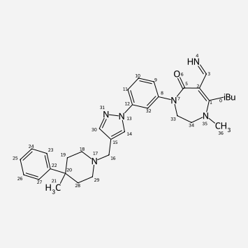 CCC(C)C1=C(C=N)C(=O)N(c2cccc(-n3cc(CN4CCC(C)(c5ccccc5)CC4)cn3)c2)CCN1C